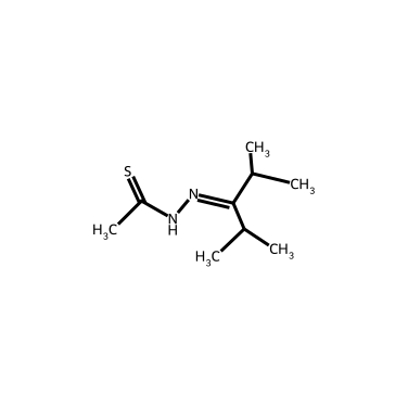 CC(=S)NN=C(C(C)C)C(C)C